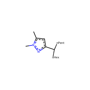 CCCCCCC(CCCCC)c1cc(C)n(C)n1